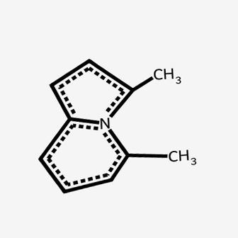 Cc1cccc2ccc(C)n12